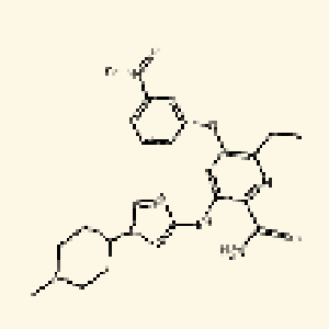 CCc1nc(C(N)=O)c(Nc2cn(C3CCN(C)CC3)cn2)nc1Oc1cccc([N+](=O)[O-])c1